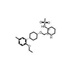 CCOc1ccc(C)cc1[C@H]1CC[C@@H](OC[C@@H]2NCCC[C@@H]2NS(C)(=O)=O)CC1